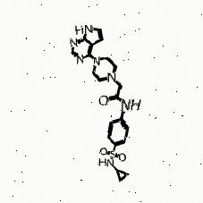 O=C(CN1CCN(c2ncnc3[nH]ccc23)CC1)Nc1ccc(S(=O)(=O)NC2CC2)cc1